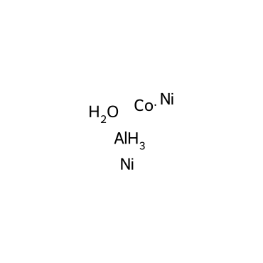 O.[AlH3].[Co].[Ni].[Ni]